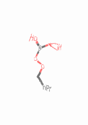 CCCCOOB(O)O